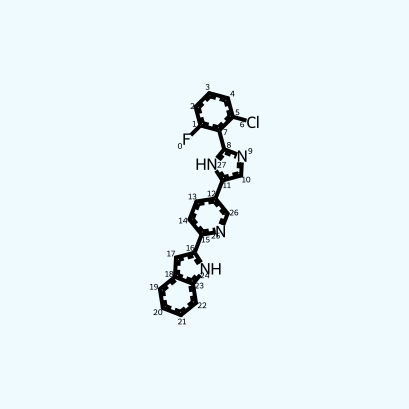 Fc1cccc(Cl)c1-c1ncc(-c2ccc(-c3cc4ccccc4[nH]3)nc2)[nH]1